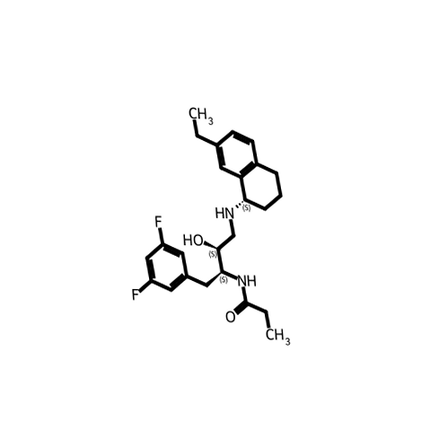 CCC(=O)N[C@@H](Cc1cc(F)cc(F)c1)[C@@H](O)CN[C@H]1CCCc2ccc(CC)cc21